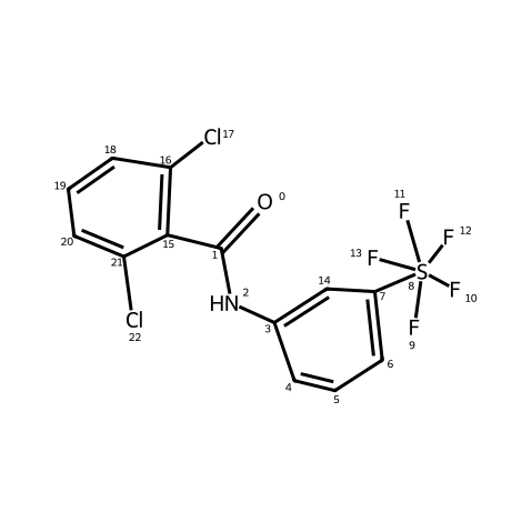 O=C(Nc1cccc(S(F)(F)(F)(F)F)c1)c1c(Cl)cccc1Cl